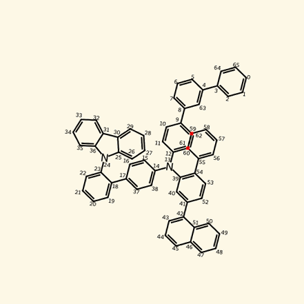 c1ccc(-c2cccc(-c3ccc(N(c4ccc(-c5ccccc5-n5c6ccccc6c6ccccc65)cc4)c4cc(-c5cccc6ccccc56)ccc4-c4ccccc4)cc3)c2)cc1